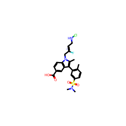 Cc1ccc(S(=O)(=O)N(C)C)cc1-c1c(C)n(C/C(F)=C/CNCl)c2ccc(C(=O)O)cc12